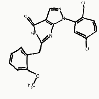 O=c1[nH]c(Cc2ccccc2OC(F)(F)F)nc2c1cnn2-c1cc(Cl)ccc1Cl